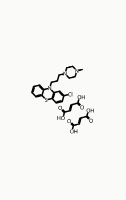 CN1CCN(CCCN2c3ccccc3Sc3ccc(Cl)cc32)CC1.O=C(O)C=CC(=O)O.O=C(O)C=CC(=O)O